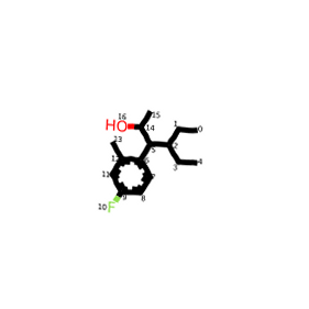 CCC(CC)C(c1ccc(F)cc1C)C(C)O